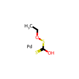 CCOSC(O)=S.[Pd]